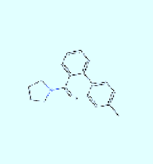 Cc1ccc(-c2ccccc2C(=[Te])N2CCCC2)cc1